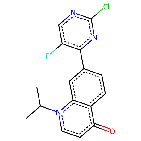 CC(C)n1ccc(=O)c2ccc(-c3nc(Cl)ncc3F)cc21